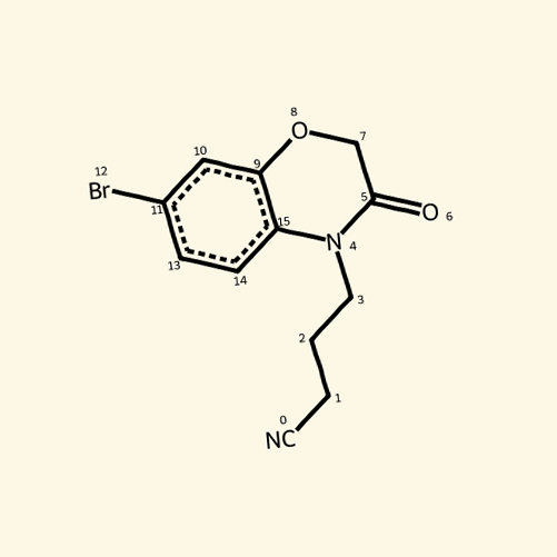 N#CCCCN1C(=O)COc2cc(Br)ccc21